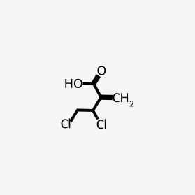 C=C(C(=O)O)C(Cl)CCl